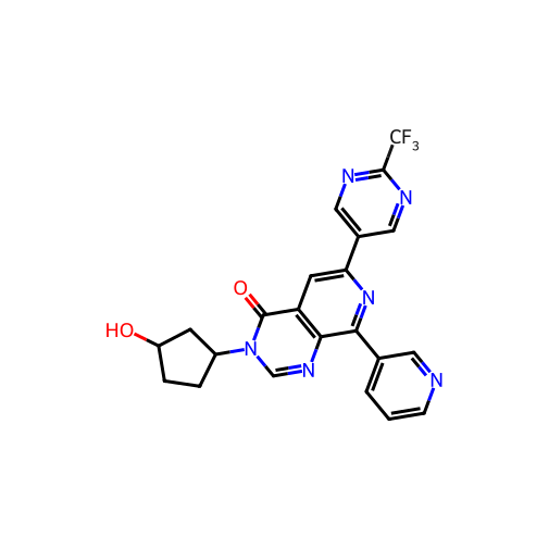 O=c1c2cc(-c3cnc(C(F)(F)F)nc3)nc(-c3cccnc3)c2ncn1C1CCC(O)C1